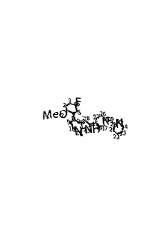 COc1ccc(F)cc1-c1ccnc2[nH]c(C3CCN(Cc4ccccn4)CC3)cc12